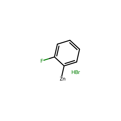 Br.Fc1cccc[c]1[Zn]